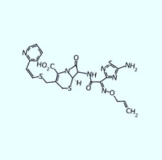 C=CCO/N=C(/C(=O)NC1C(=O)N2C(C(=O)O)=C(CS/C=C\c3ccccn3)CS[C@H]12)c1nsc(N)n1